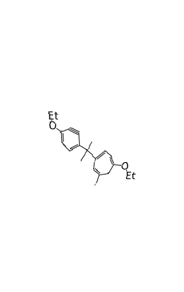 CCOC1=CC=C(C(C)(C)c2c#cc(OCC)cc2)C=C(C)C1